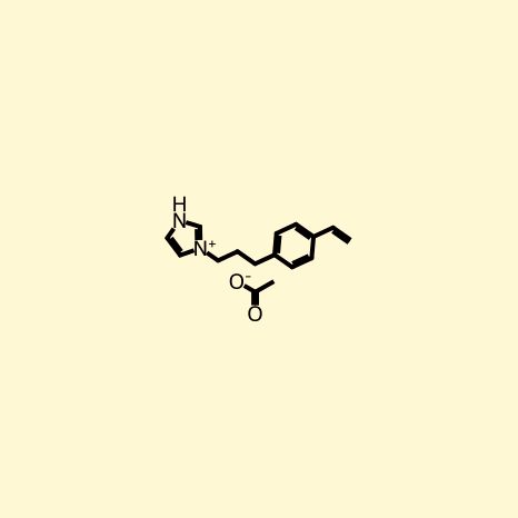 C=Cc1ccc(CCC[n+]2cc[nH]c2)cc1.CC(=O)[O-]